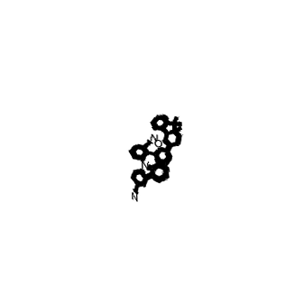 CC1(C)c2ccccc2C2c3oc4c(-c5c(C#N)cccc5-n5c6ccccc6c6cc(C#N)ccc65)cccc4c3C=CC21C